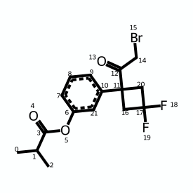 CC(C)C(=O)Oc1cccc(C2(C(=O)CBr)CC(F)(F)C2)c1